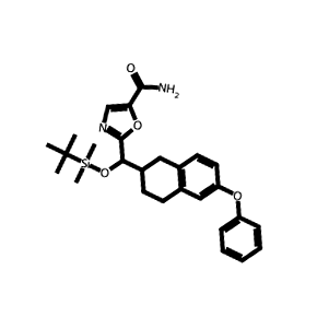 CC(C)(C)[Si](C)(C)OC(c1ncc(C(N)=O)o1)C1CCc2cc(Oc3ccccc3)ccc2C1